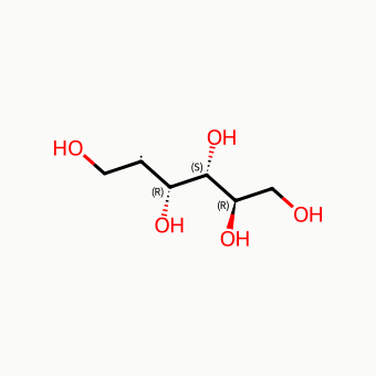 OC[CH][C@@H](O)[C@H](O)[C@H](O)CO